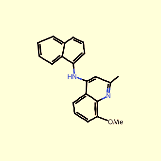 COc1cccc2c(Nc3cccc4ccccc34)cc(C)nc12